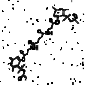 CC(=O)CC(C)(C)c1c(C)cc(C)cc1OC(=O)CCNC(=O)CCCC(=O)NCCC(=O)Oc1cc(C)cc(C)c1C(C)(C)CC(C)=O